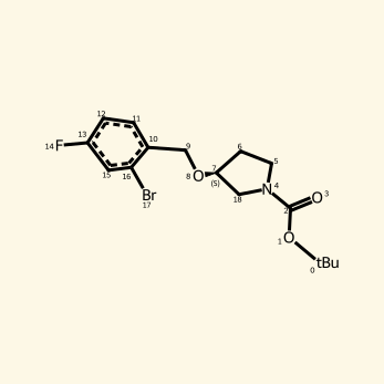 CC(C)(C)OC(=O)N1CC[C@H](OCc2ccc(F)cc2Br)C1